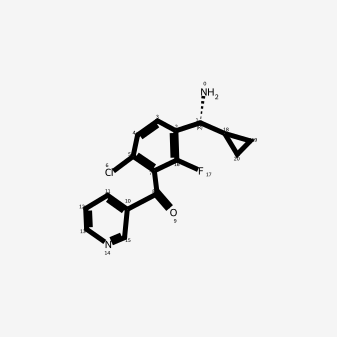 N[C@@H](c1ccc(Cl)c(C(=O)c2cccnc2)c1F)C1CC1